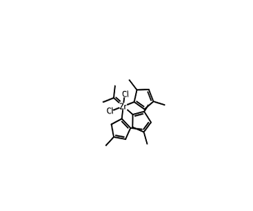 CC1=CC(C)[C]([Zr]([Cl])([Cl])([C]2=C(C)C=C(C)C2)([C]2=C(C)C=C(C)C2)=[C](C)C)=C1